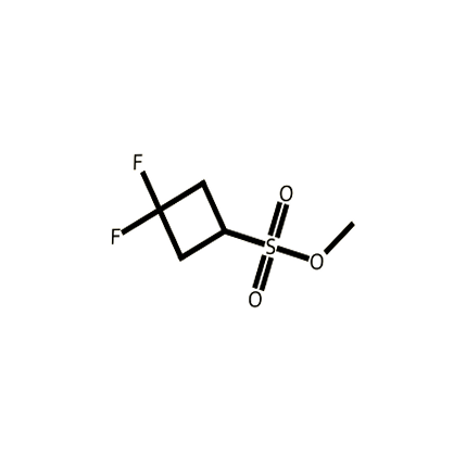 COS(=O)(=O)C1CC(F)(F)C1